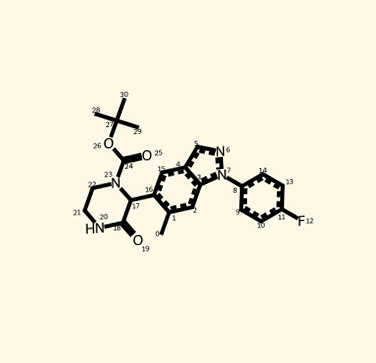 Cc1cc2c(cnn2-c2ccc(F)cc2)cc1C1C(=O)NCCN1C(=O)OC(C)(C)C